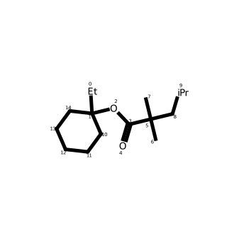 CCC1(OC(=O)C(C)(C)CC(C)C)CCCCC1